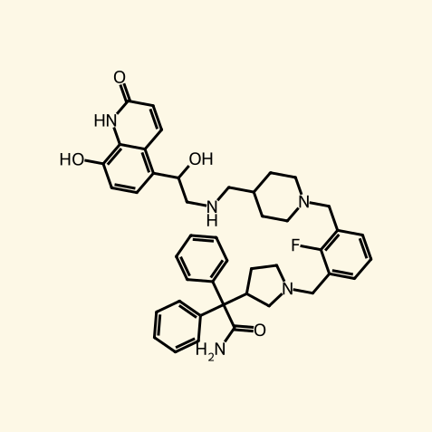 NC(=O)C(c1ccccc1)(c1ccccc1)C1CCN(Cc2cccc(CN3CCC(CNCC(O)c4ccc(O)c5[nH]c(=O)ccc45)CC3)c2F)C1